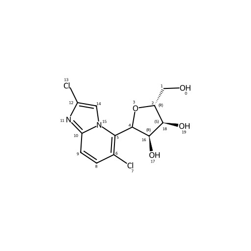 OC[C@H]1OC(c2c(Cl)ccc3nc(Cl)cn23)[C@H](O)[C@@H]1O